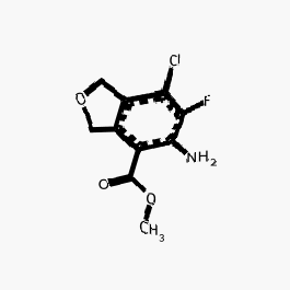 COC(=O)c1c(N)c(F)c(Cl)c2c1COC2